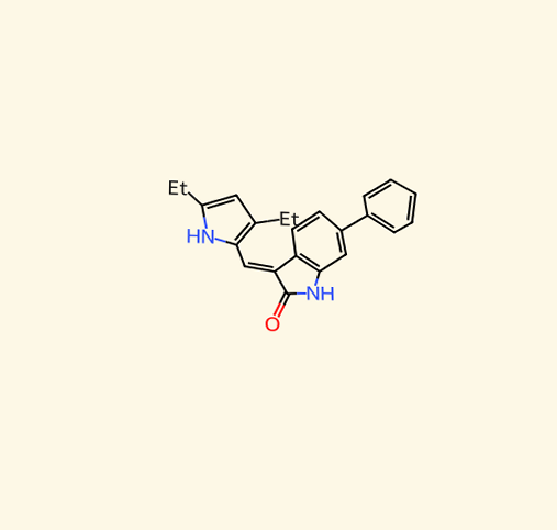 CCc1cc(CC)c(C=C2C(=O)Nc3cc(-c4ccccc4)ccc32)[nH]1